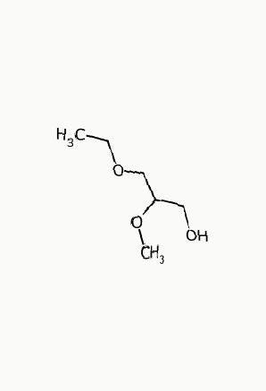 CCOCC(CO)OC